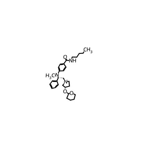 CCCCCNC(=O)c1ccc(N(C)[C@H](CN2CC[C@H](OC3CCCCO3)C2)c2ccccc2)cc1